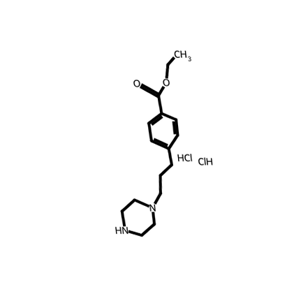 CCOC(=O)c1ccc(CCCN2CCNCC2)cc1.Cl.Cl